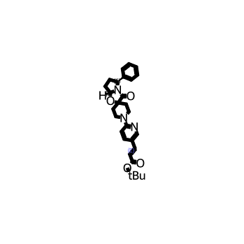 CC(C)(C)OC(=O)/C=C/c1ccc(N2CCC3(CC2)O[C@@H]2CC[C@@H](c4ccccc4)N2C3=O)nc1